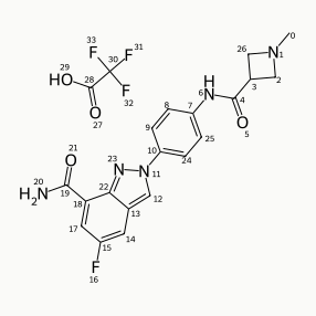 CN1CC(C(=O)Nc2ccc(-n3cc4cc(F)cc(C(N)=O)c4n3)cc2)C1.O=C(O)C(F)(F)F